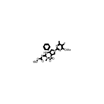 COc1nc(N2CC3[C@](c4ccccc4)(C2)N/C(=N/C(=O)OC(C)(C)C)N(C)S3(=O)=O)nc(C)c1F